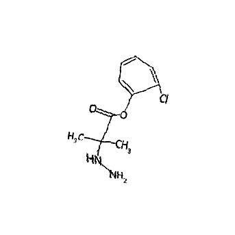 CC(C)(NN)C(=O)Oc1ccccc1Cl